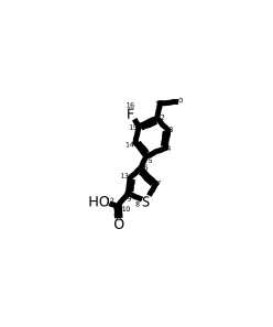 CCc1ccc(-c2csc(C(=O)O)c2)cc1F